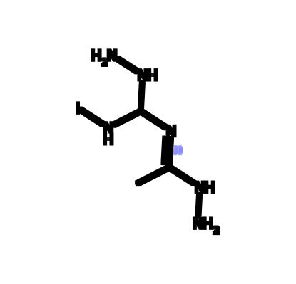 C/C(=N\C(NN)NI)NN